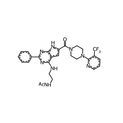 CC(=O)NCCNc1nc(-c2ccccc2)nc2[nH]c(C(=O)N3CCN(c4ncccc4C(F)(F)F)CC3)cc12